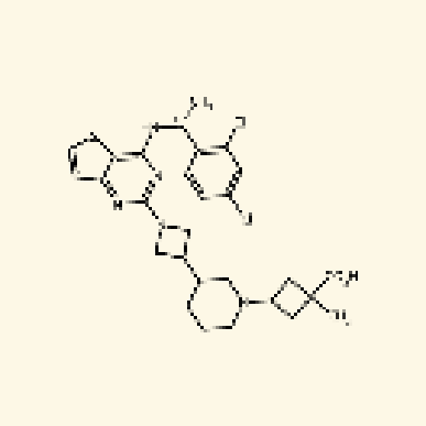 C[C@@H](Nc1nc(N2CC(C3CCCN(C4CC(C)(C(=O)O)C4)C3)C2)nc2ccsc12)c1ccc(Cl)cc1Cl